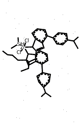 CCCCC1=Cc2c(-c3ccc(C(C)C)cc3)cccc2[CH]1[Zr]([Cl])([Cl])([CH]1C(CCCC)=Cc2c(-c3ccc(C(C)C)cc3)cccc21)[SiH](C)C